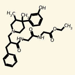 CCOC(=O)CNC(=O)CNC(=O)C(Cc1ccccc1)CN1CCC(C)(c2cccc(O)c2)C(C)C1